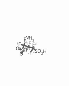 N.O=S(=O)(O)C(F)(F)C(F)(F)C(F)(F)S(=O)(=O)F